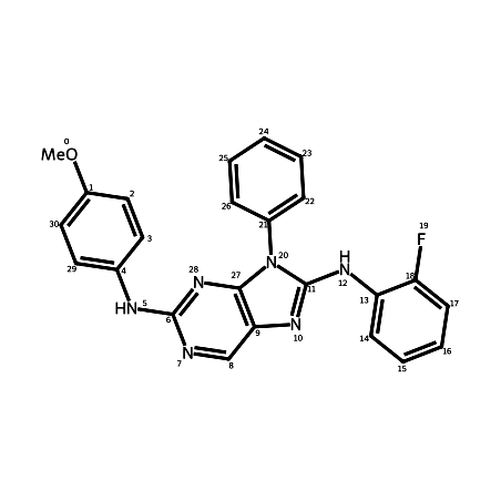 COc1ccc(Nc2ncc3nc(Nc4ccccc4F)n(-c4ccccc4)c3n2)cc1